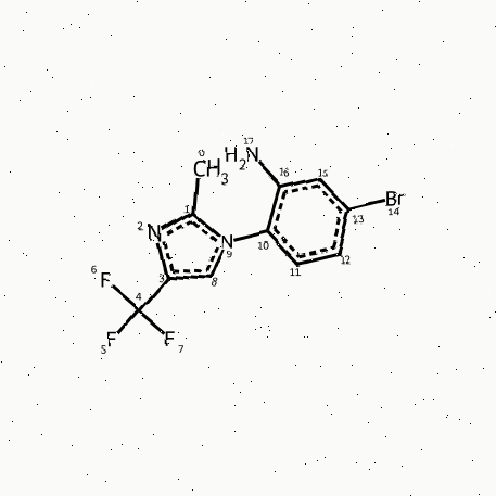 Cc1nc(C(F)(F)F)cn1-c1ccc(Br)cc1N